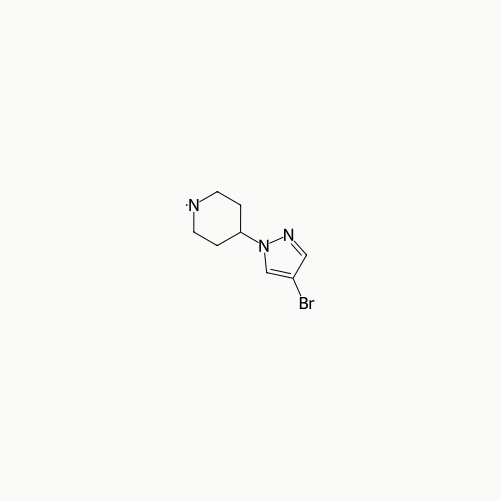 Brc1cnn(C2CC[N]CC2)c1